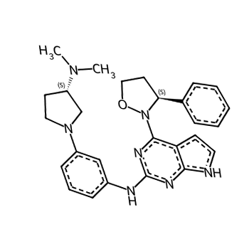 CN(C)[C@H]1CCN(c2cccc(Nc3nc(N4OCC[C@H]4c4ccccc4)c4cc[nH]c4n3)c2)C1